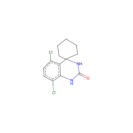 O=C1Nc2c(Cl)ccc(Cl)c2C2(CCCCC2)N1